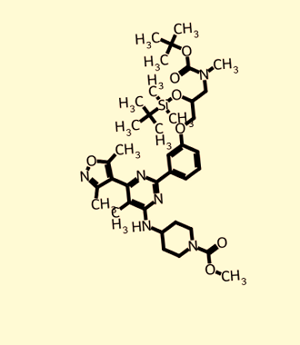 COC(=O)N1CCC(Nc2nc(-c3cccc(OCC(CN(C)C(=O)OC(C)(C)C)O[Si](C)(C)C(C)(C)C)c3)nc(-c3c(C)noc3C)c2C)CC1